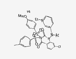 CC[n+]1cccc(N(C(C)=O)N2C(=O)[N+](S(=O)(=O)c3ccc(C)cc3)(S(=O)(=O)c3ccc(OC)cc3)C(=O)c3ccc(Cl)cc32)c1.I